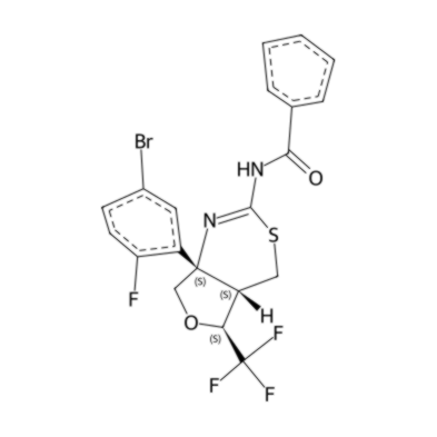 O=C(NC1=N[C@@]2(c3cc(Br)ccc3F)CO[C@H](C(F)(F)F)[C@H]2CS1)c1ccccc1